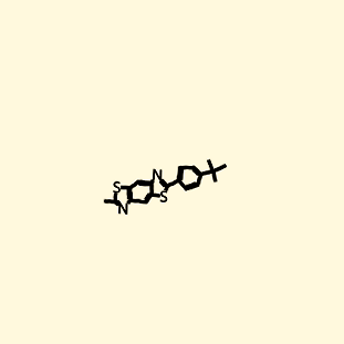 Cc1nc2cc3sc(-c4ccc(C(C)(C)C)cc4)nc3cc2s1